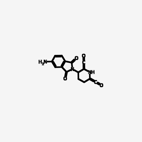 Nc1ccc2c(c1)C(=O)N(C1CCC(=C=O)NC1=C=O)C2=O